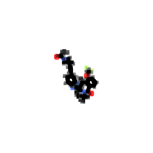 [2H]C([2H])([2H])N1C(=O)c2cccc(OC(F)F)c2[C@H]2C[C@@H]1c1nc3ccc(C#CC4(C)CN(C(=O)C(C)(C)C)C4)cc3n12